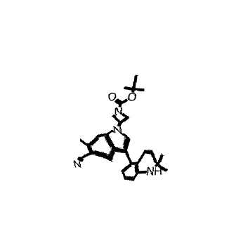 Cc1cc2c(cc1C#N)c(-c1cccc3c1CCC(C)(C)N3)cn2C1CN(C(=O)OC(C)(C)C)C1